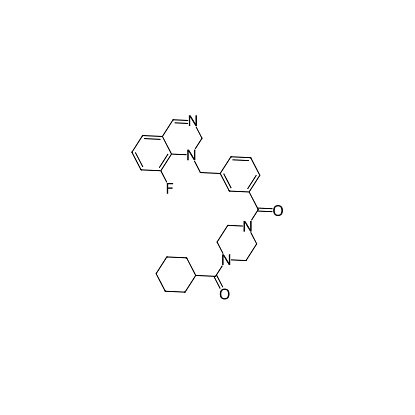 O=C(c1cccc(CN2CN=Cc3cccc(F)c32)c1)N1CCN(C(=O)C2CCCCC2)CC1